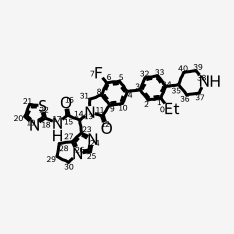 CCc1cc(-c2cc(F)c3c(c2)C(=O)N(C(C(=O)Nc2nccs2)c2ncn4c2CCC4)C3)ccc1C1CCNCC1